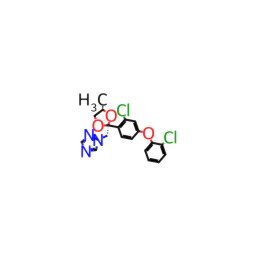 C[C@H]1CO[C@](Cn2cncn2)(c2ccc(Oc3ccccc3Cl)cc2Cl)O1